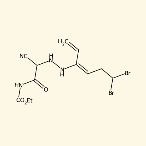 C=C/C(=C\CC(Br)Br)NNC(C#N)C(=O)NC(=O)OCC